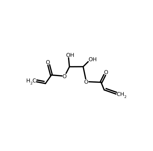 C=CC(=O)OC(O)C(O)OC(=O)C=C